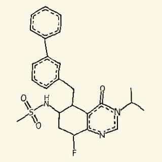 CC(C)n1cnc2c(c1=O)C(Cc1cccc(-c3ccccc3)c1)C(NS(C)(=O)=O)CC2F